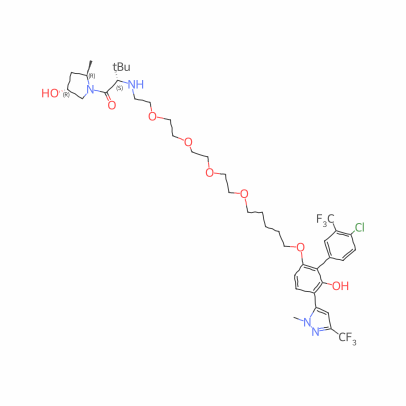 C[C@@H]1C[C@@H](O)CN1C(=O)[C@@H](NCCOCCOCCOCCOCCCCCOc1ccc(-c2cc(C(F)(F)F)nn2C)c(O)c1-c1ccc(Cl)c(C(F)(F)F)c1)C(C)(C)C